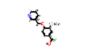 COc1cc(C(=O)Cl)ccc1OCc1cccnc1